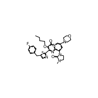 CCCCOc1c(-c2ncc(Cc3ccc(F)cc3)s2)nc2c(N3CCN(C)C3=O)cc(N3CCOCC3)cn2c1=O